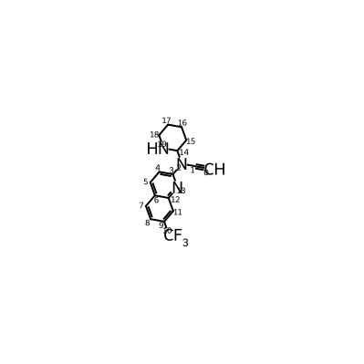 C#CN(c1ccc2ccc(C(F)(F)F)cc2n1)C1CCCCN1